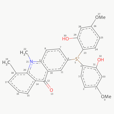 COc1ccc([S+](c2ccc3c(c2)c(=O)c2cccc(C)c2n3C)c2ccc(OC)cc2O)c(O)c1